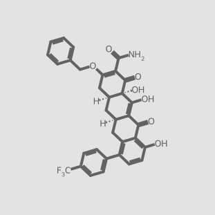 NC(=O)C1=C(OCc2ccccc2)C[C@@H]2C[C@@H]3Cc4c(-c5ccc(C(F)(F)F)cc5)ccc(O)c4C(=O)C3=C(O)[C@]2(O)C1=O